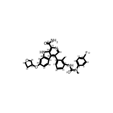 Cc1c(NC(=O)N(C)c2ccc(F)cc2)cccc1-c1cnc(C(N)=O)c2[nH]c3cc(OC4CCOC4)ccc3c12